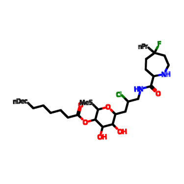 CCCCCCCCCCCCCCCC(=O)OC1C(SC)OC(CC(Cl)CNC(=O)C2CCC(F)(CCC)CCN2)C(O)C1O